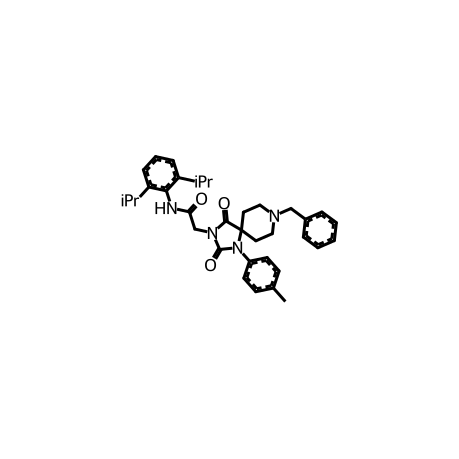 Cc1ccc(N2C(=O)N(CC(=O)Nc3c(C(C)C)cccc3C(C)C)C(=O)C23CCN(Cc2ccccc2)CC3)cc1